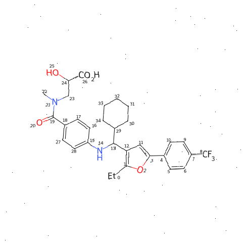 CCc1oc(-c2ccc(C(F)(F)F)cc2)cc1C(Nc1ccc(C(=O)N(C)CC(O)C(=O)O)cc1)C1CCCCC1